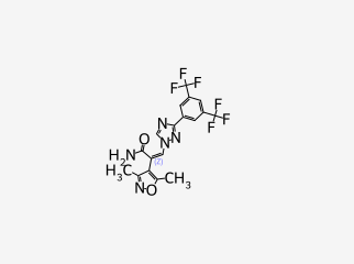 Cc1noc(C)c1/C(=C/n1cnc(-c2cc(C(F)(F)F)cc(C(F)(F)F)c2)n1)C(N)=O